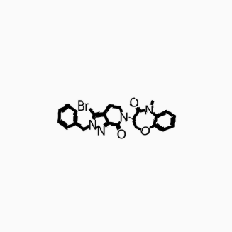 CN1C(=O)[C@@H](N2CCc3c(nn(Cc4ccccc4)c3Br)C2=O)COc2ccccc21